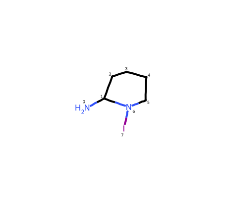 NC1CCCCN1I